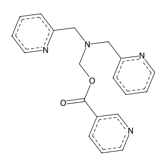 O=C(OCN(Cc1ccccn1)Cc1ccccn1)c1cccnc1